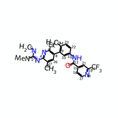 C=N/C(=N\c1nc(CC)c(-c2cc(NC(=O)c3ccnc(C(F)(F)F)c3)ccc2C)cc1C)NC